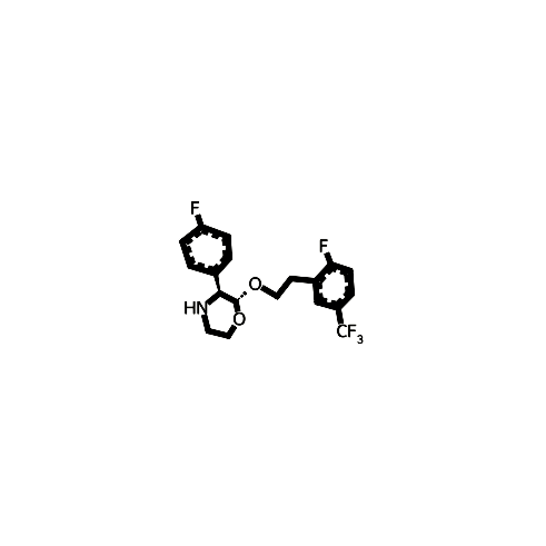 Fc1ccc([C@@H]2NCCO[C@H]2OCCc2cc(C(F)(F)F)ccc2F)cc1